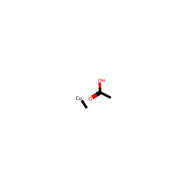 CC(=O)O.[CH3][Cu]